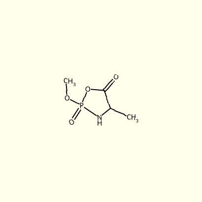 COP1(=O)NC(C)C(=O)O1